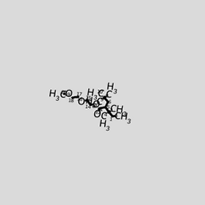 CCC(C)(C)C(CC(C)(C)C)C(=O)OCCOCCOC